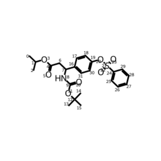 CC(C)OC(=O)CC(NC(=O)OC(C)(C)C)c1ccc(OS(=O)(=O)c2ccccc2)cc1